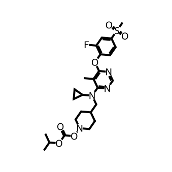 Cc1c(Oc2ccc(S(C)(=O)=O)cc2F)ncnc1N(CC1CCN(OC(=O)OC(C)C)CC1)C1CC1